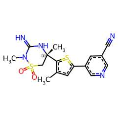 Cc1cc(-c2cncc(C#N)c2)sc1[C@]1(C)CS(=O)(=O)N(C)C(=N)N1